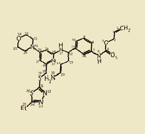 C=CCOC(=O)Nc1cccc(C(CCCN)Nc2cc(N3CCOCC3)cc(CSc3nnc(CC)s3)n2)c1